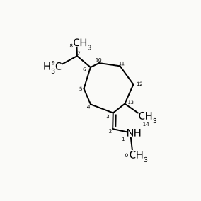 CN/C=C1/CCC(C(C)C)CCCC1C